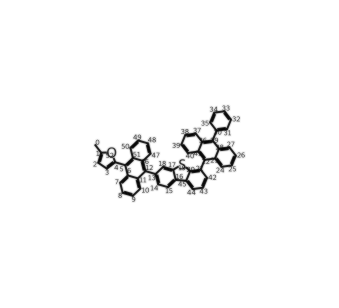 Cc1ccc(-c2c3ccccc3c(-c3ccc4c(c3)sc3c(-c5c6ccccc6c(-c6ccccc6)c6ccccc56)cccc34)c3ccccc23)o1